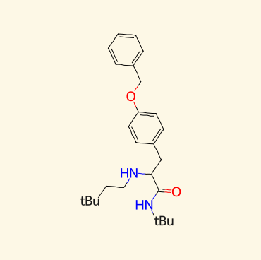 CC(C)(C)CCNC(Cc1ccc(OCc2ccccc2)cc1)C(=O)NC(C)(C)C